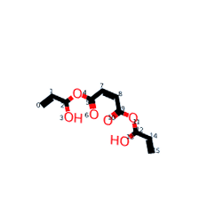 C=CC(O)OC(=O)/C=C\C(=O)OC(O)C=C